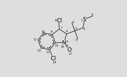 CSCC(C)(C)C1C(Cl)c2cccc(Cl)c2[N+]1=O